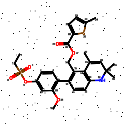 CCS(=O)(=O)Oc1ccc(-c2ccc3c(c2COC(=O)c2ccc(C)s2)C(C)=CC(C)(C)N3)c(OC)c1